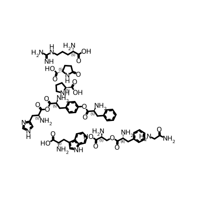 N=C(N)NCCC[C@H](N)C(=O)O.NCC(N)=O.N[C@@H](Cc1c[nH]c2ccccc12)C(=O)O.N[C@@H](Cc1ccc(OC(=O)[C@@H](N)Cc2ccccc2)cc1)C(=O)OC(=O)[C@@H](N)Cc1c[nH]cn1.N[C@H](Cc1ccccc1)C(=O)OC[C@H](N)C(=O)O.O=C(O)[C@@H]1CCCN1.O=C1CC[C@@H](C(=O)O)N1